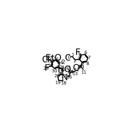 CCOC(=O)CCc1c(F)cccc1[C@@H](C)OC[C@H](O)CN1CCC[C@H]1Cc1ccc(Cl)c(F)c1